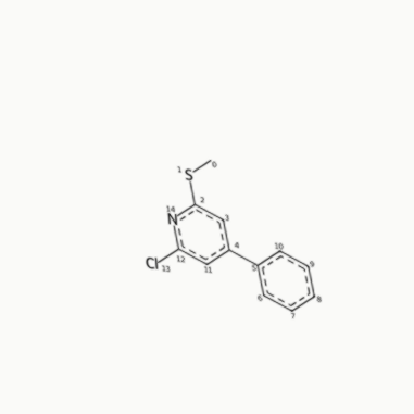 CSc1cc(-c2ccccc2)cc(Cl)n1